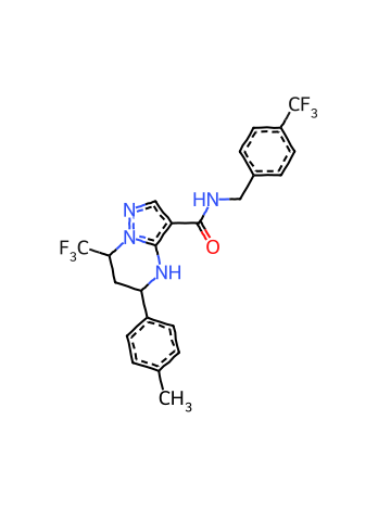 Cc1ccc(C2CC(C(F)(F)F)n3ncc(C(=O)NCc4ccc(C(F)(F)F)cc4)c3N2)cc1